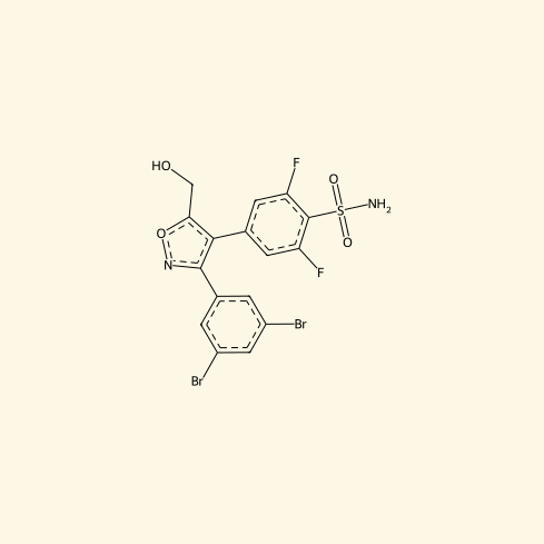 NS(=O)(=O)c1c(F)cc(-c2c(-c3cc(Br)cc(Br)c3)noc2CO)cc1F